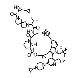 CO[C@@H](C)c1ncc(N2CCN(C3CC3)CC2)cc1-c1c2c3cc(ccc3n1CC(F)(F)F)-c1csc(n1)C[C@H](NC(=O)C(C(C)C)N1CC[C@]3(CCN(C(=O)[C@@H]4NC4C4CC4)C3)C1)C(=O)N1CCC[C@H](N1)C(=O)OCC(C)(C)C2